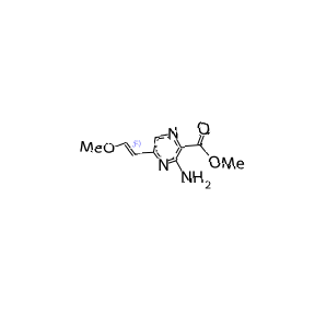 CO/C=C/c1cnc(C(=O)OC)c(N)n1